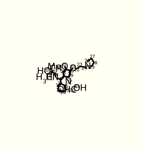 COc1cc2c(NCC(C)(C)O)c3ccccc3nc2cc1OCCCN1CCCC1.O=CO